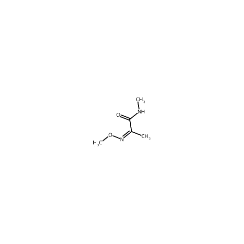 CNC(=O)/C(C)=N\OC